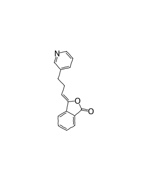 O=C1OC(=CCCc2cccnc2)c2ccccc21